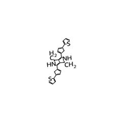 C=c1[nH]c(C2=CC=C(c3cccs3)C2)c2c(=C)[nH]c(C3=CC=C(c4cccs4)C3)c12